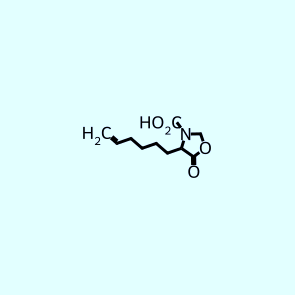 C=CCCCCC1C(=O)OCN1C(=O)O